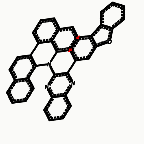 c1ccc2c3c(ccc2c1)-c1cccc2cccc(c12)N3c1nc2ccccc2nc1-c1ccc2c(c1)oc1ccccc12